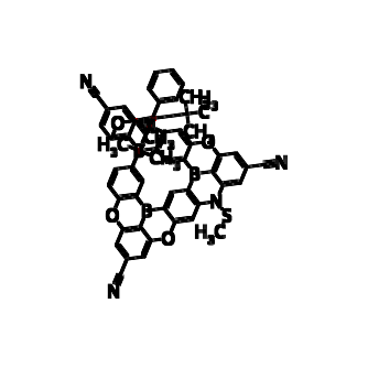 CSN1c2cc3c(cc2B2c4cc5c(cc4Oc4cc(C#N)cc1c42)N(c1ccccc1)c1cc(C#N)cc2c1B5c1cc(C(C)(C)C)ccc1O2)B1c2cc(C(C)(C)C)ccc2Oc2cc(C#N)cc(c21)O3